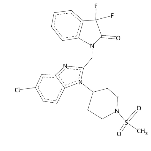 CS(=O)(=O)N1CCC(n2c(CN3C(=O)C(F)(F)c4ccccc43)nc3cc(Cl)ccc32)CC1